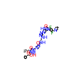 CC(C)C[C@H](NC(=O)[C@@H](O)[C@H](C)Cc1ccccc1)C(=O)NCCN1CCN(CC(=O)NCCCNc2cc(N3CCC4(CC3)CN(c3cc(F)c(CN5CCC(C)(C)CC5)cc3F)CC(=O)N4)ncn2)CC1